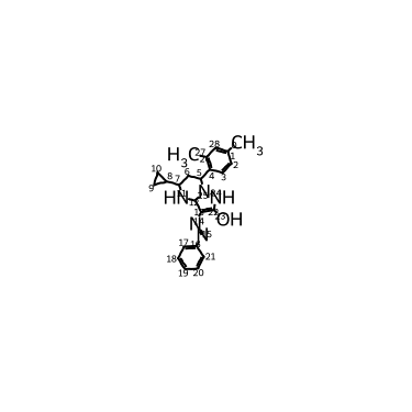 Cc1ccc(C2CC(C3CC3)NC3C(N=Nc4ccccc4)=C(O)NN32)c(C)c1